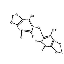 Fc1c(F)c2c(c(S)c1Oc1c(F)c(F)c3c(c1S)OCO3)OCO2